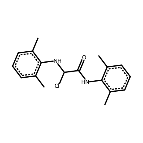 Cc1cccc(C)c1NC(=O)C(Cl)Nc1c(C)cccc1C